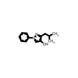 CC(C)Cc1nn(-c2ccccc2)cc1O